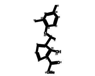 COC(=O)c1cccc(C(C)Oc2ccc(C)cc2C)c1O